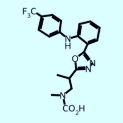 CC(CN(C)C(=O)O)c1nnc(-c2ccccc2Nc2ccc(C(F)(F)F)cc2)o1